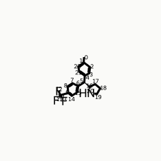 Cc1ccc([C@H](c2ccc(C(F)(F)F)cc2)C2CCCN2)cc1